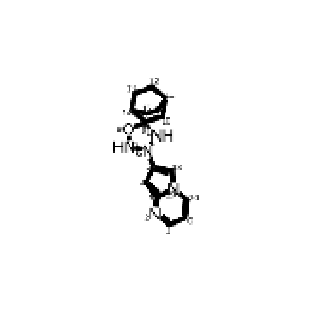 c1cnc2cc(N3NO[C@@]4(CC5CCC4CC5)N3)cn2c1